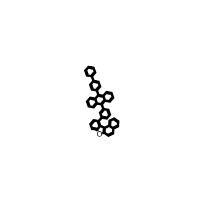 c1ccc(-c2ccc(-c3c4ccccc4c(-c4cccc(-c5cccc6oc7ccc8ccccc8c7c56)c4)c4ccccc34)cc2)cc1